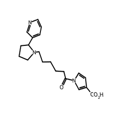 O=C(O)c1ccn(C(=O)CCCCCN2CCCC2c2cccnc2)c1